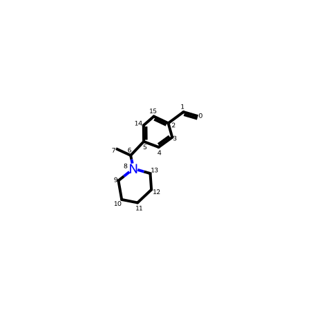 C=Cc1ccc(C(C)N2CCCCC2)cc1